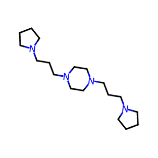 C1CCN(CCCN2CCN(CCCN3CCCC3)CC2)C1